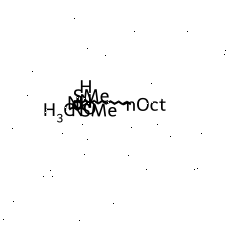 CCCCCCCCC=CCCCCCCCC(=O)Nc1c(SC)nc(C)nc1SC